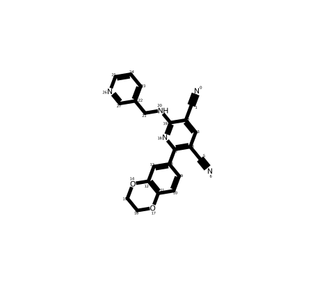 N#Cc1cc(C#N)c(-c2ccc3c(c2)OCCO3)nc1NCc1cccnc1